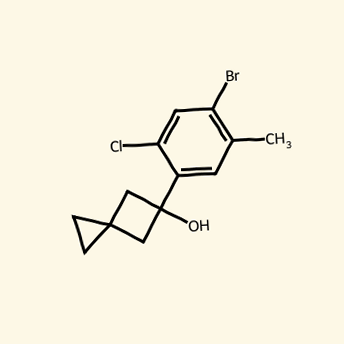 Cc1cc(C2(O)CC3(CC3)C2)c(Cl)cc1Br